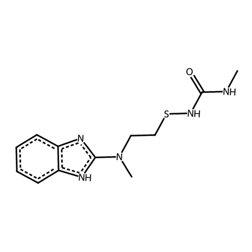 CNC(=O)NSCCN(C)c1nc2ccccc2[nH]1